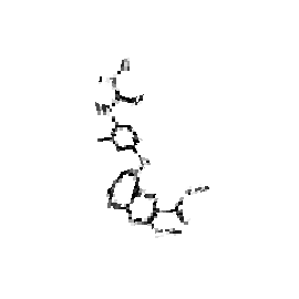 CCNC(=O)Nc1ccc(Oc2ccnc3cc(OC)c(C(=O)NC)cc23)cc1C